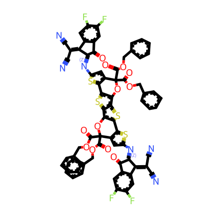 N#CC(C#N)=C1/C(=N/c2cc3c(s2)-c2sc4c5c(sc4c2OC3(C(=O)OCc2ccccc2)C(=O)OCc2ccccc2)-c2sc(/N=C3\C(=O)c4cc(F)c(F)cc4C3=C(C#N)C#N)cc2C(C(=O)OCc2ccccc2)(C(=O)OCc2ccccc2)O5)C(=O)c2cc(F)c(F)cc21